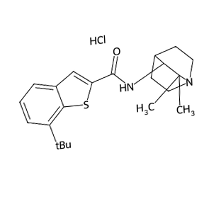 CC(C)(C)c1cccc2cc(C(=O)NC3C4CCN(CC4)C3(C)C)sc12.Cl